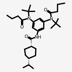 CCCC(=O)N(c1cc(NC(=O)[C@H]2CC[C@@H](C(C)C)CC2)cc(N(C(=O)CCC)C(C)(C)C)c1)C(C)(C)C